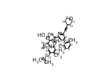 Cc1cccc(C)c1-c1cc(C#CC2CCOCC2)nc([C@H](CC(=O)O)NC(=O)[C@H](CC(C)C)n2cc(CCN(C)C)c(C(F)(F)F)cc2=O)c1